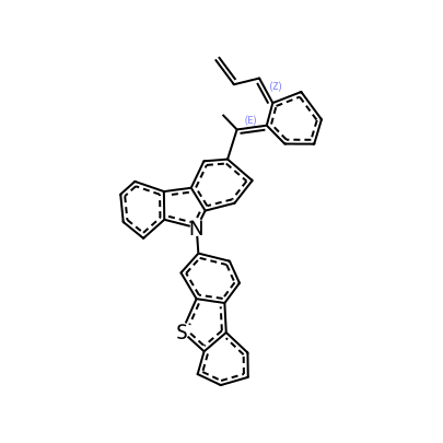 C=C/C=c1/cccc/c1=C(/C)c1ccc2c(c1)c1ccccc1n2-c1ccc2c(c1)sc1ccccc12